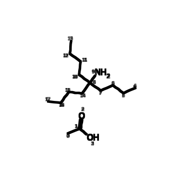 CC(=O)O.CCCCC(N)(CCCC)CCCC